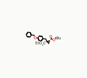 CCOC(=O)[C@@]1(Cc2ccc(OCc3ccccc3)cc2)C[C@H]1C(=O)OC(C)(C)C